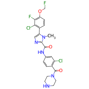 Cn1c(-c2ccc(OCF)c(F)c2Cl)cnc1C(=O)Nc1ccc(C(=O)N2CCNCC2)c(Cl)c1